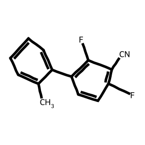 Cc1ccccc1-c1ccc(F)c(C#N)c1F